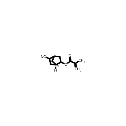 C=C(C)C(=O)OC1CC2C[C@H]1CC2C#N